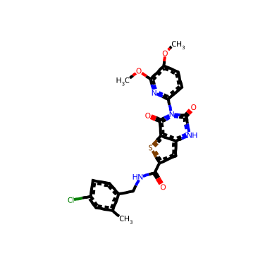 COc1ccc(-n2c(=O)[nH]c3cc(C(=O)NCc4ccc(Cl)cc4C)sc3c2=O)nc1OC